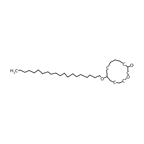 [CH2]CCCCCCCCCCCCCCCCCCCOC1CCCCCCC([O])COCCCC1